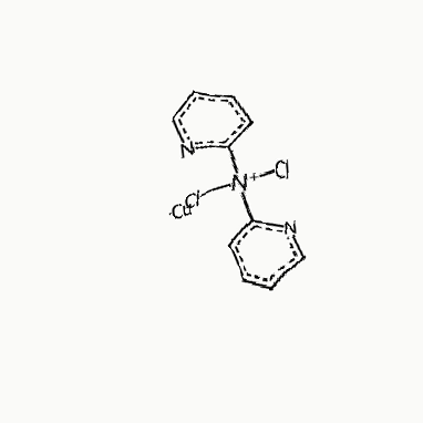 Cl[N+](Cl)(c1ccccn1)c1ccccn1.[Cu]